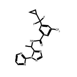 CC(NC(=O)c1cc(C(F)(F)F)cc(C(F)(F)C2CC2)c1)c1ncnn1-c1ncccn1